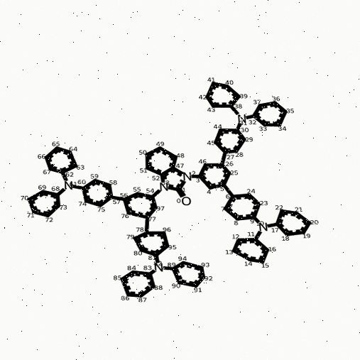 O=c1n(-c2cc(-c3ccc(N(c4ccccc4)c4ccccc4)cc3)cc(-c3ccc(N(c4ccccc4)c4ccccc4)cc3)c2)c2ccccc2n1-c1cc(-c2ccc(N(c3ccccc3)c3ccccc3)cc2)cc(-c2ccc(N(c3ccccc3)c3ccccc3)cc2)c1